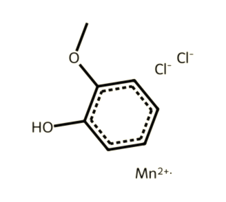 COc1ccccc1O.[Cl-].[Cl-].[Mn+2]